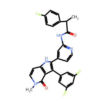 CC(C(=O)Nc1cc(-c2[nH]c3ccn(C)c(=O)c3c2-c2cc(F)cc(F)c2)ccn1)c1ccc(F)cc1